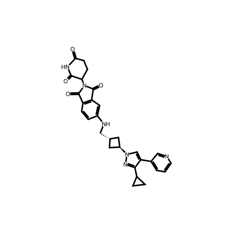 O=C1CCC(N2C(=O)c3ccc(NC[C@H]4C[C@H](n5cc(-c6cccnc6)c(C6CC6)n5)C4)cc3C2=O)C(=O)N1